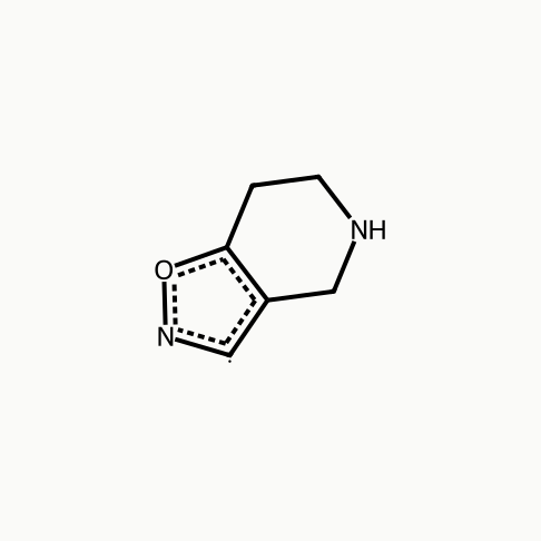 [c]1noc2c1CNCC2